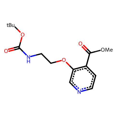 COC(=O)c1ccncc1OCCNC(=O)OC(C)(C)C